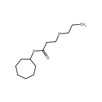 CCCOCCC(=O)OC1CCCCCC1